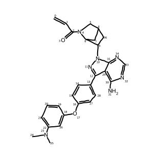 C=CC(=O)N1CC2CC1C(n1nc(-c3ccc(Oc4cccc(N(C)C)c4)cc3)c3c(N)ncnc31)C2